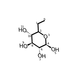 CCC1O[C@@H](O)[C@H](O)[C@@H](O)[C@@H]1O